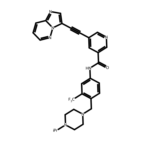 CC(C)N1CCN(Cc2ccc(NC(=O)c3cncc(C#Cc4cnc5cccnn45)c3)cc2C(F)(F)F)CC1